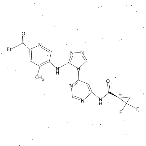 CCC(=O)c1cc(C)c(Nc2nncn2-c2cc(NC(=O)[C@H]3CC3(F)F)ncn2)cn1